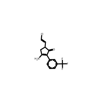 NC1=C(c2cccc(C(F)(F)F)c2)C(=O)C(/C=C/Cl)C1